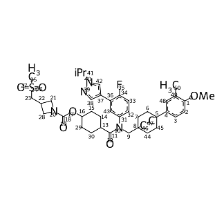 COc1ccc(C23CCC(CN(C(=O)C4CCC(OC(=O)N5CC(CS(C)(=O)=O)C5)CC4)c4ccc(F)c(-c5cnn(C(C)C)c5)c4)(CC2)CC3)cc1C